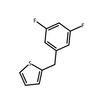 Fc1cc(F)cc(Cc2cccs2)c1